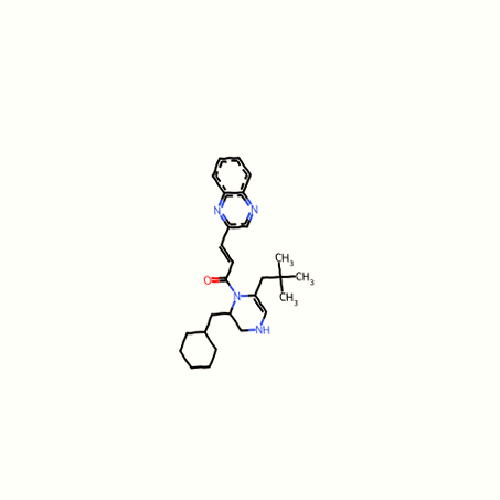 CC(C)(C)CC1=CNCC(CC2CCCCC2)N1C(=O)/C=C/c1cnc2ccccc2n1